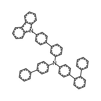 c1ccc(-c2ccc(N(c3ccc(-c4ccccc4-c4ccccc4)cc3)c3cccc(-c4ccc(-n5c6ccccc6c6ccccc65)cc4)c3)cc2)cc1